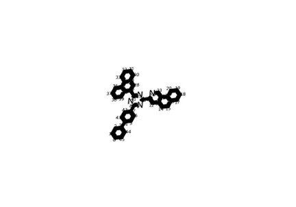 c1ccc(-c2ccc(-c3nc(-c4cc5ccc6ccccc6c5cn4)nc(-c4cc5ccccc5c5ccccc45)n3)cc2)cc1